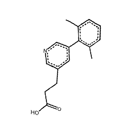 Cc1cccc(C)c1-c1cncc(CCC(=O)O)c1